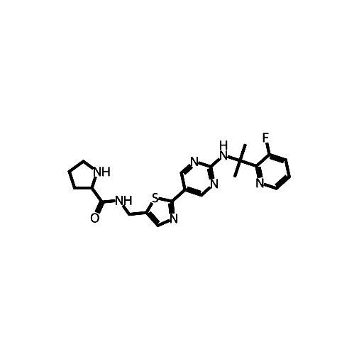 CC(C)(Nc1ncc(-c2ncc(CNC(=O)C3CCCN3)s2)cn1)c1ncccc1F